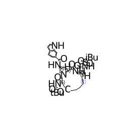 CCC(C)S(=O)(=O)NC(=O)[C@@]12C[C@H]1/C=C\CCCCC[C@H](NC(=O)OC(C)(C)C)C(=O)N1C[C@H](NC(=O)c3ccc4cc[nH]c4c3)C[C@H]1C(=O)N2